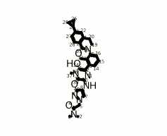 CN(C)C(=O)Cn1cc(Nc2nc(-c3cccc(N4CCc5cc(C6CC6)ccc5C4=O)c3CO)cn(C)c2=O)cn1